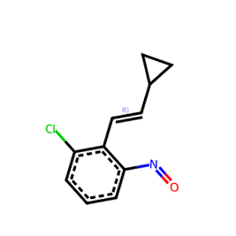 O=Nc1cccc(Cl)c1/C=C/C1CC1